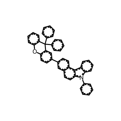 c1ccc(-n2c3ccccc3c3c4ccc(-c5ccc6c(c5)C(c5ccccc5)(c5ccccc5)c5ccccc5O6)cc4ccc32)cc1